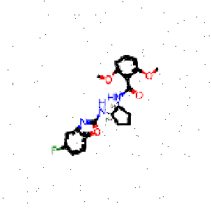 COc1cccc(OC)c1C(=O)N[C@H]1CCC[C@@H]1Nc1nc2cc(F)ccc2o1